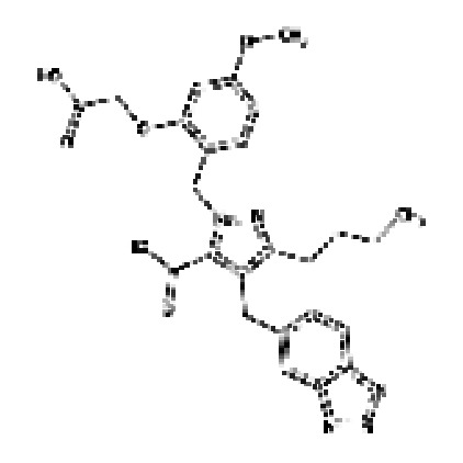 CCCCc1nn(Cc2ccc(OC)cc2OCC(=O)O)c(C(=O)O)c1Cc1ccc2nsnc2c1